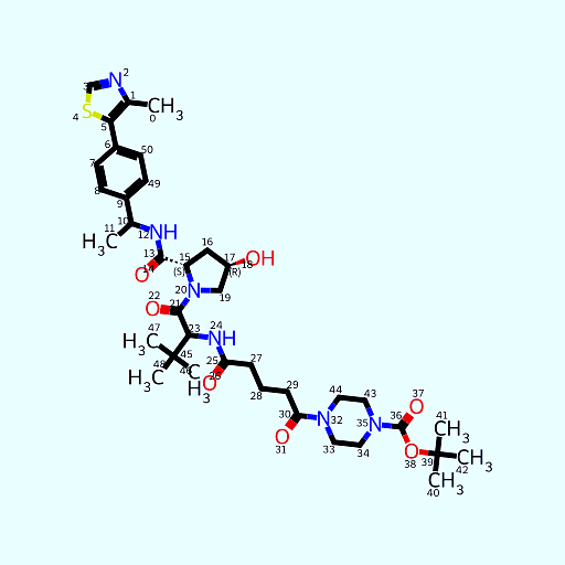 Cc1ncsc1-c1ccc(C(C)NC(=O)[C@@H]2C[C@@H](O)CN2C(=O)C(NC(=O)CCCC(=O)N2CCN(C(=O)OC(C)(C)C)CC2)C(C)(C)C)cc1